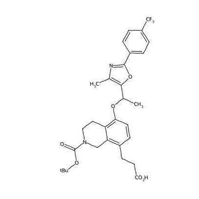 Cc1nc(-c2ccc(C(F)(F)F)cc2)oc1C(C)Oc1ccc(CCC(=O)O)c2c1CCN(C(=O)OC(C)(C)C)C2